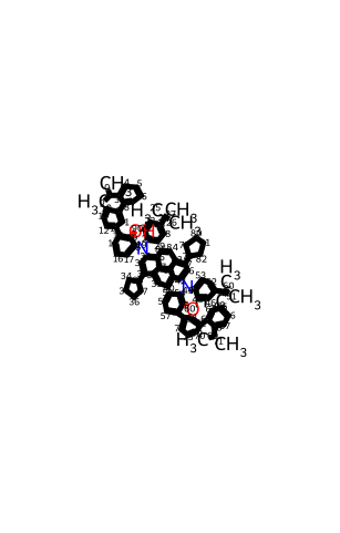 CC(C)c1ccccc1-c1cccc(-c2cccc(N(c3ccc(C(C)(C)C)cc3)c3cc(C4CCCC4)c4ccc5c(N(c6ccc(C(C)(C)C)cc6)c6cccc7c6oc6c(-c8ccccc8C(C)C)cccc67)cc(C6CCCC6)c6ccc3c4c65)c2O)c1